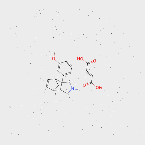 COc1cccc(C23CN(C)CC2C2C=CC3C2)c1.O=C(O)C=CC(=O)O